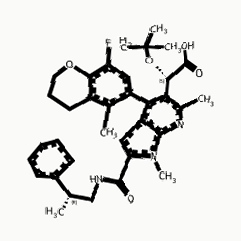 Cc1nc2c(cc(C(=O)NC[C@H](C)c3ccccc3)n2C)c(-c2cc(F)c3c(c2C)CCCO3)c1[C@H](OC(C)(C)C)C(=O)O